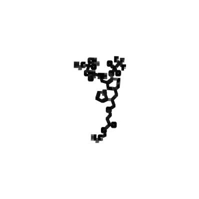 CCOC(=O)CCOCC(Cc1ccc(OS(=O)(=O)C(F)(F)F)c(CNC(=O)OC(C)(C)C)c1)c1cccs1